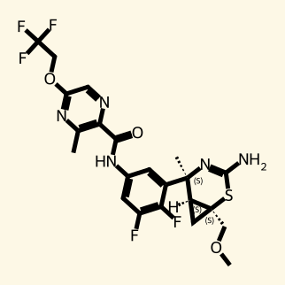 COC[C@]12C[C@H]1[C@@](C)(c1cc(NC(=O)c3ncc(OCC(F)(F)F)nc3C)cc(F)c1F)N=C(N)S2